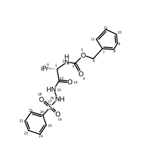 CC(C)[C@H](NC(=O)OCc1ccccc1)C(=O)NNS(=O)(=O)c1ccccc1